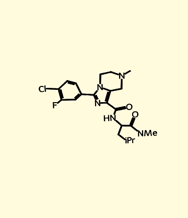 CNC(=O)C(CC(C)C)NC(=O)c1nc(-c2ccc(Cl)c(F)c2)n2c1CN(C)CC2